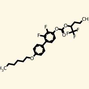 CCCCCCOc1ccc(-c2ccc(OC(=O)OC(CCC)C(F)(F)F)c(F)c2F)cc1